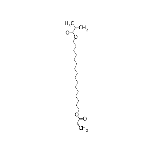 C=CC(=O)OCCCCCCCCCCCCCCCCOC(=O)C(=C)C